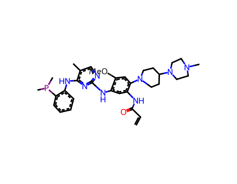 C=CC(=O)Nc1cc(Nc2ncc(C)c(Nc3ccccc3P(C)C)n2)c(OC)cc1N1CCC(N2CCN(C)CC2)CC1